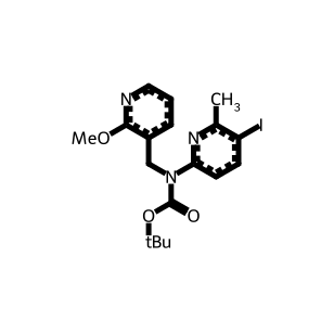 COc1ncccc1CN(C(=O)OC(C)(C)C)c1ccc(I)c(C)n1